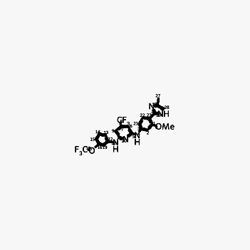 COc1cc(Nc2cc(C(F)(F)F)cc(Nc3cccc(OC(F)(F)F)c3)n2)ccc1-c1nc(C)c[nH]1